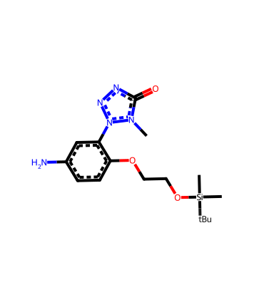 Cn1c(=O)nnn1-c1cc(N)ccc1OCCO[Si](C)(C)C(C)(C)C